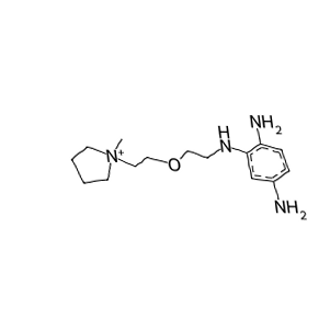 C[N+]1(CCOCCNc2cc(N)ccc2N)CCCC1